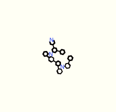 C1=CC2c3cc(C4C=Cc5c(n(-c6cc(-c7ccccc7)cc(-c7ccncc7)c6)c6ccccc56)C4)ccc3N(C3CCC=C(c4ccccc4)C3)C2CC1